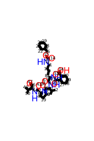 CC(C)[C@H](NC(=O)[C@H](CCCCNC(=O)OCc1ccccc1)NC(=O)c1ccccc1C(=O)O)C(=O)N1CCC[C@H]1C(=O)N[C@H](C=O)C(C)C